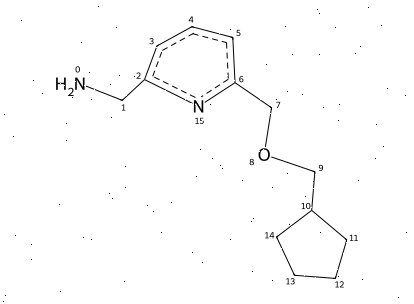 NCc1cccc(COCC2CCCC2)n1